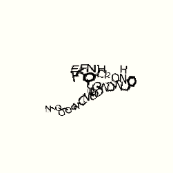 CN(C)CCOC(=O)COC1CN(C2CCN(C(=O)[C@@H](Cc3cc(Cl)c(N)c(C(F)(F)F)c3)OC(=O)N3CCC(N4CCc5ccccc5NC4=O)CC3)CC2)C1